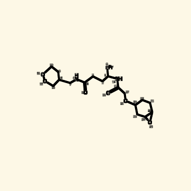 CCCC(CCC(=O)NCC1CCOOC1)NC(=O)COC1CCC2OC2C1